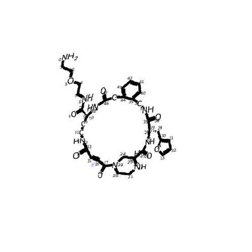 NCCOCCNC(=O)[C@@H]1CCNC(=O)/C=C/C(=O)N2CCN[C@H](C2)C(=O)N[C@@H](Cc2ccco2)C(=O)NCc2ccccc2CC(=O)N1